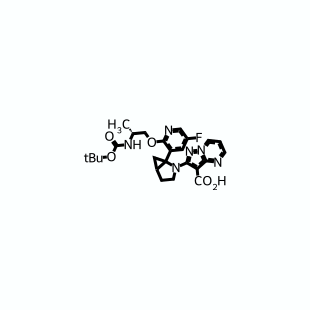 C[C@H](COc1ncc(F)cc1C12CC1CCN2c1nn2cccnc2c1C(=O)O)NC(=O)OC(C)(C)C